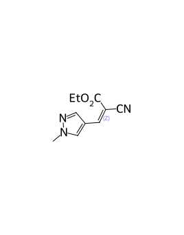 CCOC(=O)/C(C#N)=C\c1cnn(C)c1